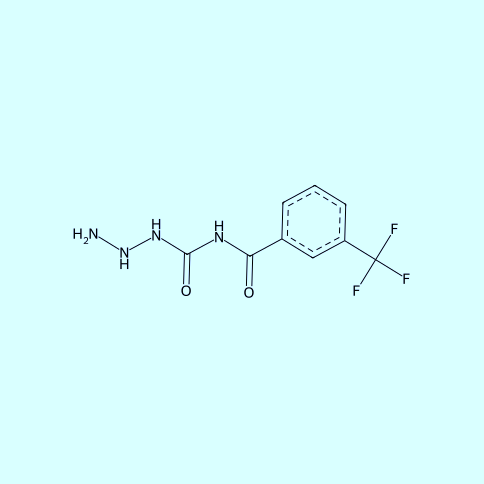 NNNC(=O)NC(=O)c1cccc(C(F)(F)F)c1